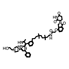 CC(=N)/C(=C1/N=C(c2ccccc2)C=C(N2CCN(CCO)CC2)N1)c1cccc(CCCC(C)(C)CCC(C)(C)CCNC(=O)COc2cccc3c2CN(C2CCC(=O)NC2=O)C3=O)c1